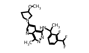 COC1CCN(c2cnc3c(C)nnc(NC(C)c4cccc(C(F)F)c4F)c3c2)C1